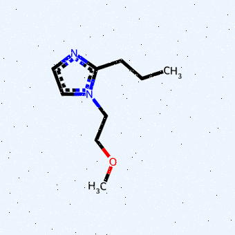 CCCc1nccn1CCOC